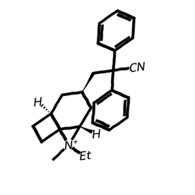 CC[N+]1(C)[C@H]2C[C@H](CC(C#N)(c3ccccc3)c3ccccc3)C[C@@H]3CCC321